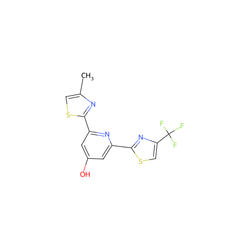 Cc1csc(-c2cc(O)cc(-c3nc(C(F)(F)F)cs3)n2)n1